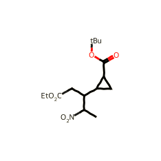 CCOC(=O)CC(C1CC1C(=O)OC(C)(C)C)C(C)[N+](=O)[O-]